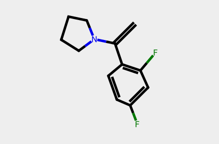 C=C(c1ccc(F)cc1F)N1CCCC1